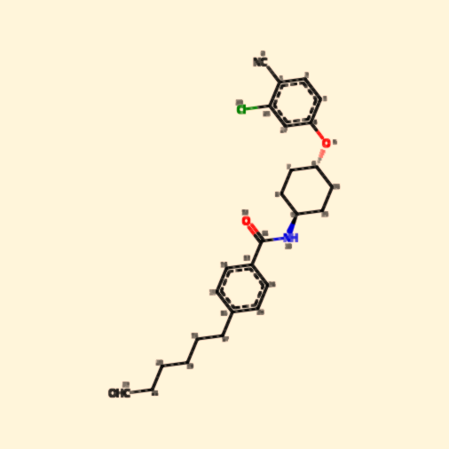 N#Cc1ccc(O[C@H]2CC[C@H](NC(=O)c3ccc(CCCCCC=O)cc3)CC2)cc1Cl